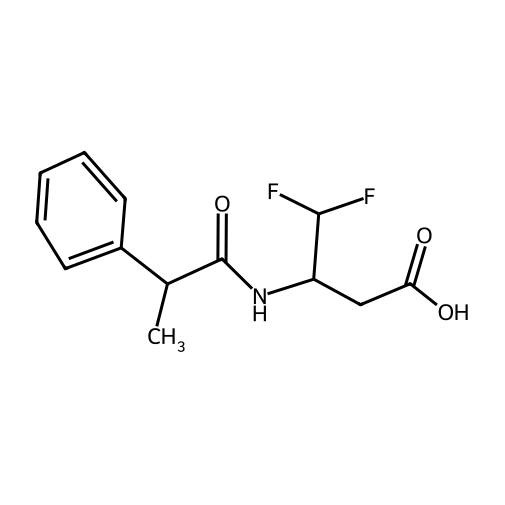 CC(C(=O)NC(CC(=O)O)C(F)F)c1ccccc1